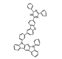 c1ccc(C2=NC(c3ccccc3)NC(c3ccc4c(c3)oc3ccc(-c5cccc(-n6c7ccccc7c7cc8c9ccccc9n(-c9ccccc9)c8cc76)c5)cc34)=N2)cc1